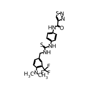 CN(C)c1ccc(CNC(=S)Nc2ccc(NC(=O)c3csnn3)cc2)cc1C(F)(F)F